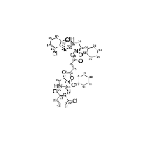 O=C(/C=C/C(=O)O[N+]1(OC2CCCCC2)CCNC1=Nc1c(Cl)cccc1Cl)O[N+]1(OC2CCCCC2)CCNC1=Nc1c(Cl)cccc1Cl